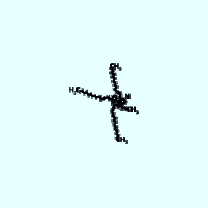 CCCCCCCCCCCCC#CCCc1ccccc1N=C(C#CCCCCCCCCCCCCCC)C(CCCCCC)=Nc1ccccc1CCC#CCCCCCCCCCCCC.[Ni]